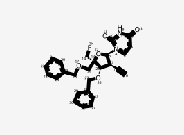 C#C[C@@H]1[C@H](n2ccc(=O)[nH]c2=O)O[C@](CF)(COCc2ccccc2)[C@H]1OCc1ccccc1